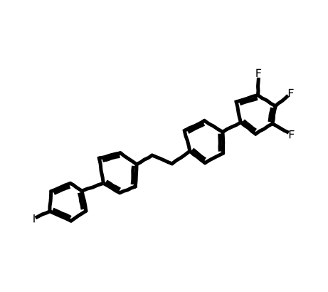 Fc1cc(-c2ccc(CCc3ccc(-c4ccc(I)cc4)cc3)cc2)cc(F)c1F